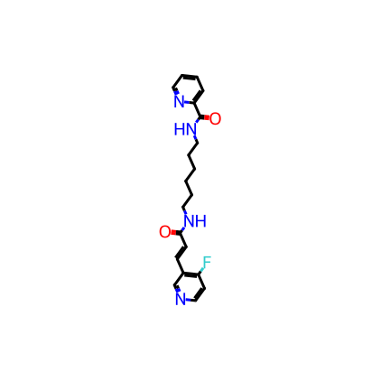 O=C(C=Cc1cnccc1F)NCCCCCCNC(=O)c1ccccn1